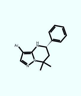 CC(=O)c1cnn2c1N[C@H](c1ccccc1)CC2(C)C